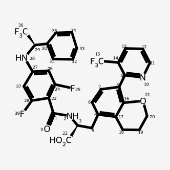 O=C(N[C@@H](Cc1ccc(-c2ncccc2C(F)(F)F)c2c1CCCO2)C(=O)O)c1c(F)cc(N[C@H](c2ccccc2)C(F)(F)F)cc1F